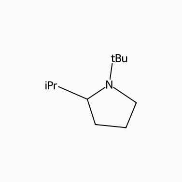 CC(C)C1CCCN1C(C)(C)C